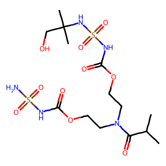 CC(C)C(=O)N(CCOC(=O)NS(N)(=O)=O)CCOC(=O)NS(=O)(=O)NC(C)(C)CO